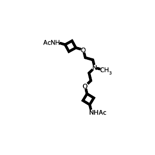 CC(=O)NC1CC(OCCN(C)CCOC2CC(NC(C)=O)C2)C1